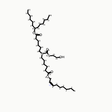 CCCCCC/C=C\COC(=O)CCCCCN(CCCCCC(=O)OC(CCCCCC)CCCCCC)C(=O)SCCO